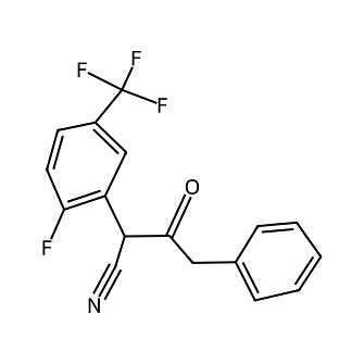 N#CC(C(=O)Cc1ccccc1)c1cc(C(F)(F)F)ccc1F